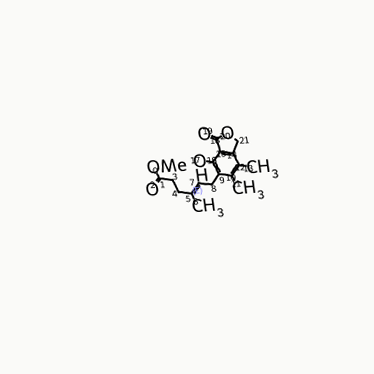 COC(=O)CC/C(C)=C/Cc1c(C)c(C)c2c(c1O)C(=O)OC2